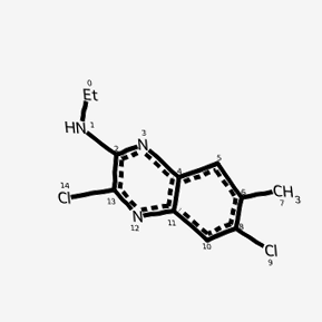 CCNc1nc2cc(C)c(Cl)cc2nc1Cl